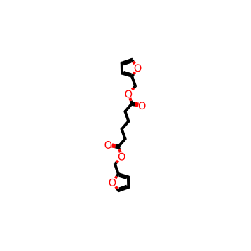 O=C(CCCCC(=O)OCc1ccco1)OCc1ccco1